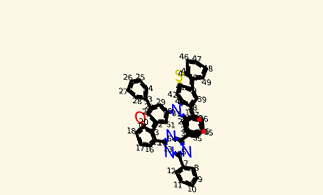 c1ccc(-c2nc(-c3ccccc3)nc(-c3cccc4oc5c(-c6ccccc6)cc(-n6c7ccccc7c7cc8c(cc76)sc6ccccc68)cc5c34)n2)cc1